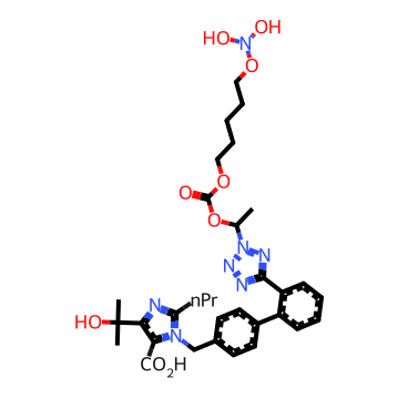 CCCc1nc(C(C)(C)O)c(C(=O)O)n1Cc1ccc(-c2ccccc2-c2nnn(C(C)OC(=O)OCCCCCON(O)O)n2)cc1